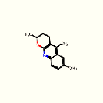 COc1ccc2nc3c(c(C)c2c1)CCC(C)O3